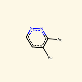 CC(=O)c1ccnnc1C(C)=O